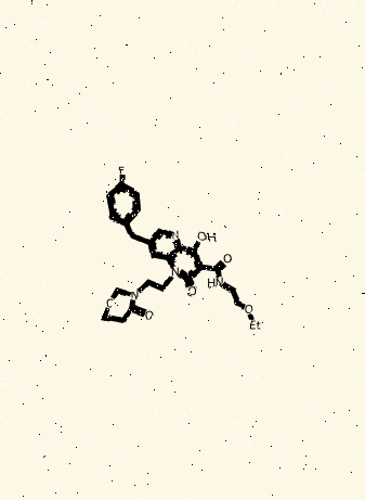 CCOCCNC(=O)c1c(O)c2ncc(Cc3ccc(F)cc3)cc2n(CCN2CCCCC2=O)c1=O